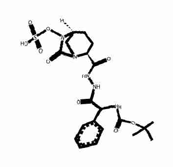 CC(C)(C)OC(=O)NC(C(=O)NNC(=O)[C@@H]1CC[C@H]2CN1C(=O)N2OS(=O)(=O)O)c1ccccc1